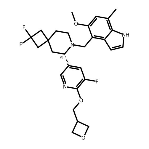 COc1cc(C)c2[nH]ccc2c1CN1CCC2(C[C@H]1c1cnc(OCC3COC3)c(F)c1)CC(F)(F)C2